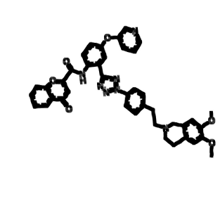 COc1cc2c(cc1OC)CN(CCc1ccc(-n3nnc(-c4cc(Oc5cccnc5)ccc4NC(=O)c4cc(=O)c5ccccc5o4)n3)cc1)CC2